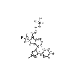 Cn1cc(-c2ccnc3c2cc(C(F)(F)F)n3COCC[Si](C)(C)C)c(-c2ccc(F)cn2)n1